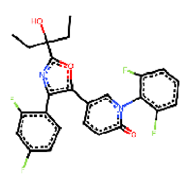 CCC(O)(CC)c1nc(-c2ccc(F)cc2F)c(-c2ccc(=O)n(-c3c(F)cccc3F)c2)o1